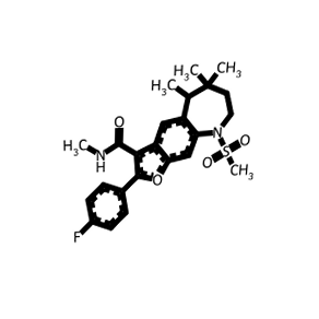 CNC(=O)c1c(-c2ccc(F)cc2)oc2cc3c(cc12)C(C)C(C)(C)CCN3S(C)(=O)=O